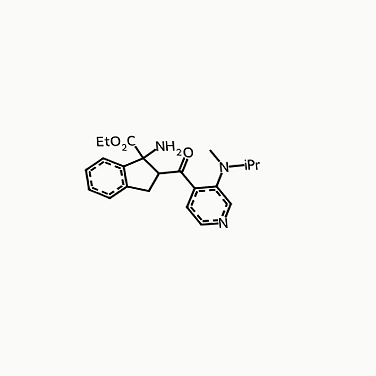 CCOC(=O)C1(N)c2ccccc2CC1C(=O)c1ccncc1N(C)C(C)C